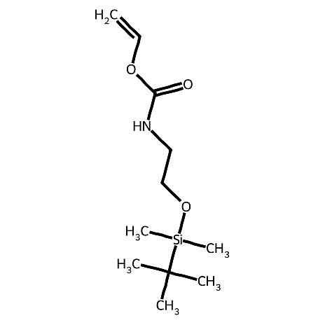 C=COC(=O)NCCO[Si](C)(C)C(C)(C)C